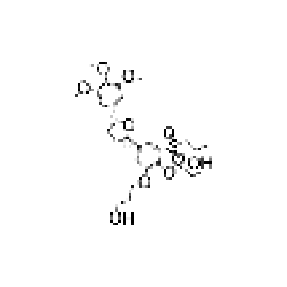 CCCOc1c(OCCCO)cc([C@H]2CC[C@H](c3cc(OC)c(OC)c(OC)c3)O2)cc1S(=O)(=O)CC(C)O